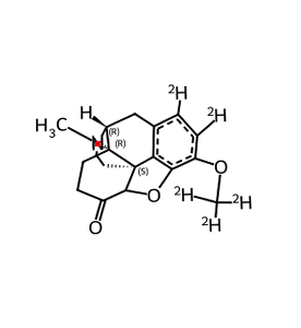 [2H]c1c([2H])c(OC([2H])([2H])[2H])c2c3c1C[C@@H]1[C@@H]4CCC(=O)C(O2)[C@]34CCN1C